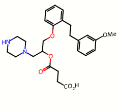 COc1cccc(CCc2ccccc2OCC(CN2CCNCC2)OC(=O)CCC(=O)O)c1